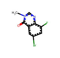 Cn1cnc2c(F)cc(Br)cc2c1=O